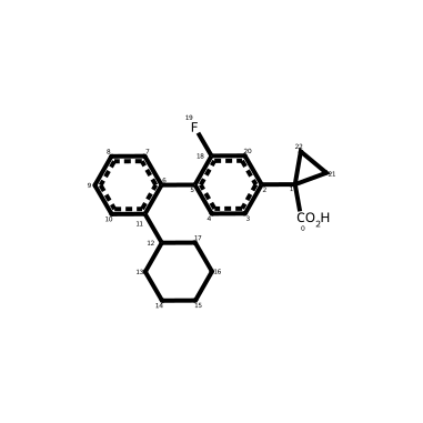 O=C(O)C1(c2ccc(-c3ccccc3C3CCCCC3)c(F)c2)CC1